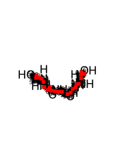 CCc1cc(O)ccc1-c1ccc2c(-c3nc(C4=CCN(C(=O)[C@@H]5CCC(c6cccc(C[C@H](N)C(=O)N7CC=C(c8c[nH]c(-c9n[nH]c%10cc(-c%11ccc(O)cc%11CC)ccc9%10)n8)CC7)c6)N5)CC4)c[nH]3)n[nH]c2c1